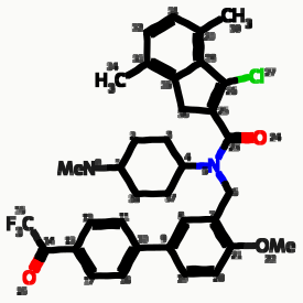 CNC1CCC(N(Cc2cc(-c3ccc(C(=O)C(F)(F)F)cc3)ccc2OC)C(=O)C2=C(Cl)c3c(C)ccc(C)c3C2)CC1